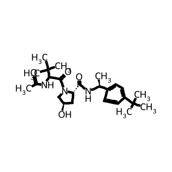 CC(=O)NC(C(=O)N1C[C@H](O)C[C@H]1C(=O)N[C@@H](C)c1ccc(C(C)(C)C)cc1)C(C)(C)C